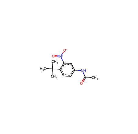 CC(=O)Nc1ccc(C(C)(C)C)c([N+](=O)[O-])c1